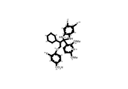 COc1ccc(C2(C(COc3ccc(C(=O)O)cc3F)C3CCCCC3)Nc3cc(F)c(F)cc3N2)c(OC)n1